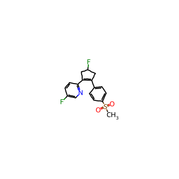 CS(=O)(=O)c1ccc(C2=C(c3ccc(F)cn3)CC(F)C2)cc1